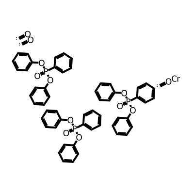 O=P(Oc1ccccc1)(Oc1ccccc1)c1ccccc1.O=P(Oc1ccccc1)(Oc1ccccc1)c1ccccc1.O=P(Oc1ccccc1)(Oc1ccccc1)c1ccccc1.[C]=O.[C]=O.[C]=O.[Cr]